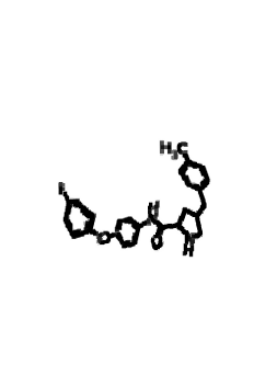 Cc1ccc(CC2CNC(C(=O)Nc3ccc(Oc4ccc(F)cc4)cc3)C2)cc1